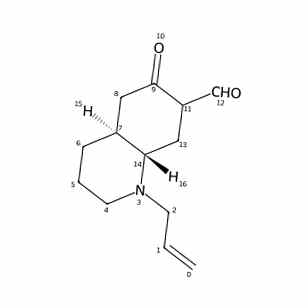 C=CCN1CCC[C@H]2CC(=O)C(C=O)C[C@@H]21